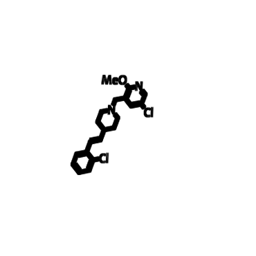 COc1ncc(Cl)cc1CN1CCC(C=Cc2ccccc2Cl)CC1